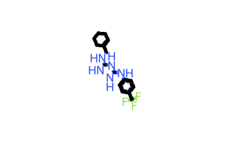 N=C(NCC1=CCCCC1)NC(=N)Nc1ccc(C(F)(F)F)cc1